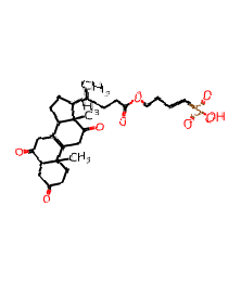 CC(CCC(=O)OCCCCS(=O)(=O)O)C1CCC2C3CC(=O)C4CC(=O)CCC4(C)C3CC(=O)C12C